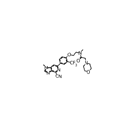 CN(CCOc1ccc(-c2cc3c(ncn3C)c(C#N)n2)cc1C(F)(F)F)C(=O)CN1CCOCC1